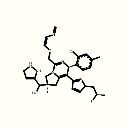 C=N/C=C\SCC1=N[C@@H](c2ccc(F)cc2Cl)C(C2=NC(C[C@@H](C)F)C=C2)=C2C[C@@](C)(C(O)C3=CCNN3)CN12